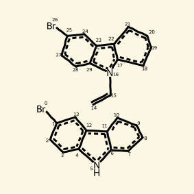 Brc1ccc2[nH]c3ccccc3c2c1.C=Cn1c2ccccc2c2cc(Br)ccc21